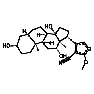 COc1occ([C@H]2CC[C@]3(O)[C@@H]4CC[C@@H]5C[C@@H](O)CC[C@]5(C)[C@H]4C[C@@H](O)[C@]23C)c1C#N